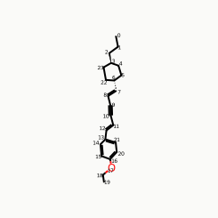 CCC[C@H]1CC[C@H](C=CC#CC=Cc2ccc(OCC)cc2)CC1